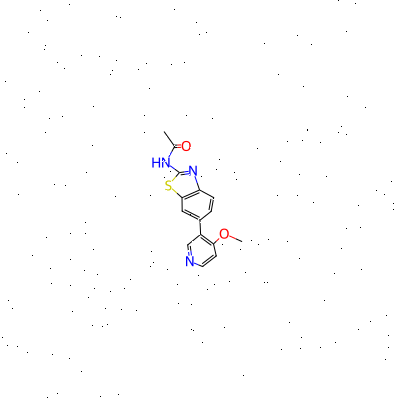 COc1ccncc1-c1ccc2nc(NC(C)=O)sc2c1